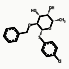 C[C@@H]1O[C@H](Sc2ccc(Cl)cc2)[C@@H](OCc2ccccc2)[C@H](O)[C@@H]1O